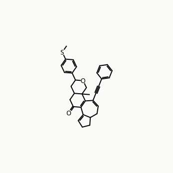 CSc1ccc(C2CC3CC(=O)C4=C(C(C#Cc5ccccc5)=CCC5CCC=C45)C3(C)CO2)cc1